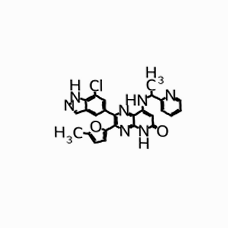 Cc1ccc(-c2nc3[nH]c(=O)cc(NC(C)c4ccccn4)c3nc2-c2cc(Cl)c3[nH]ncc3c2)o1